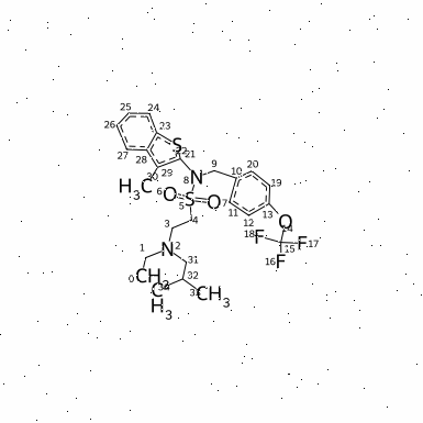 CCN(CCS(=O)(=O)N(Cc1ccc(OC(F)(F)F)cc1)c1sc2ccccc2c1C)CC(C)C